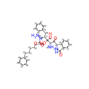 NC(C(=O)C1NC(=O)c2ccccc21)C(O)(O)C(Cc1ccccc1)N(N)C(=O)OCCCCc1ccccc1